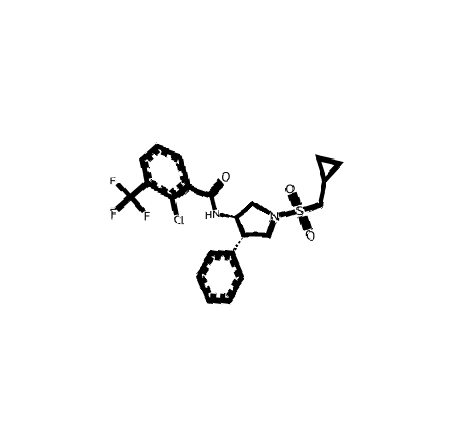 O=C(N[C@H]1CN(S(=O)(=O)CC2CC2)C[C@@H]1c1ccccc1)c1cccc(C(F)(F)F)c1Cl